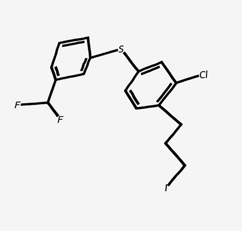 FC(F)c1cccc(Sc2ccc(CCCI)c(Cl)c2)c1